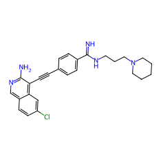 N=C(NCCCN1CCCCC1)c1ccc(C#Cc2c(N)ncc3ccc(Cl)cc23)cc1